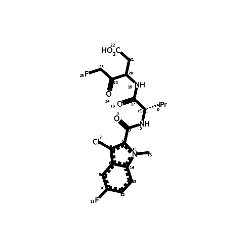 CC(C)[C@H](NC(=O)c1c(Cl)c2cc(F)ccc2n1C)C(=O)NC(CC(=O)O)C(=O)CF